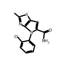 Cc1nc2c(cc(C(N)=O)n2-c2ccccc2Cl)s1